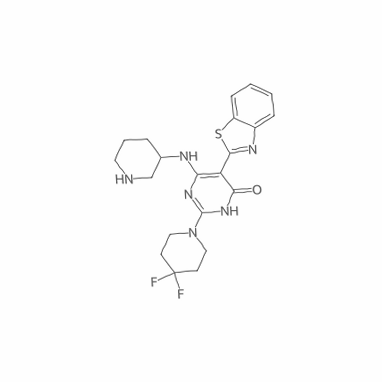 O=c1[nH]c(N2CCC(F)(F)CC2)nc(NC2CCCNC2)c1-c1nc2ccccc2s1